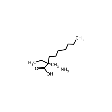 CCCCCCCC(C)(CC)C(=O)O.N